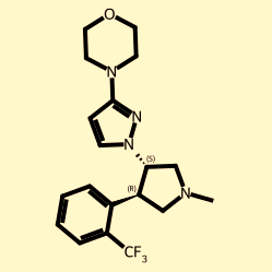 CN1C[C@@H](n2ccc(N3CCOCC3)n2)[C@H](c2ccccc2C(F)(F)F)C1